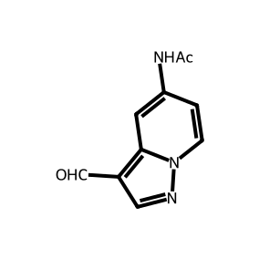 CC(=O)Nc1ccn2ncc(C=O)c2c1